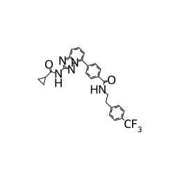 O=C(NCCc1ccc(C(F)(F)F)cc1)c1ccc(-c2cccc3nc(NC(=O)C4CC4)nn23)cc1